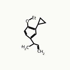 [CH2]C(C=C)c1ccc(OCC)c(C2CC2)c1